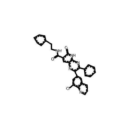 O=C(NCCc1ccccc1)c1cc2nc(-c3cc(Cl)c4ncccc4c3)c(-c3ccccc3)nc2[nH]c1=O